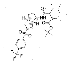 CC(C)CC(C(=O)N[C@H]1CC[C@H]2CN(S(=O)(=O)c3ccc(C(F)(F)F)cc3)C[C@H]21)N(C)C(=O)OC(C)(C)C